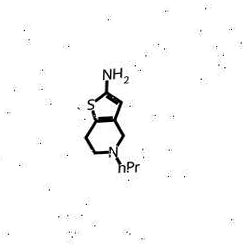 CCCN1CCc2sc(N)cc2C1